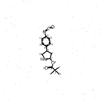 CC(C)(C)C(=O)OC1CC(c2ccc(N=C=O)cc2)CN1